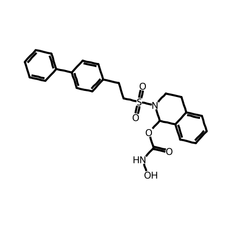 O=C(NO)OC1c2ccccc2CCN1S(=O)(=O)CCc1ccc(-c2ccccc2)cc1